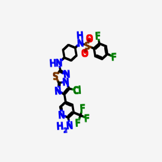 Nc1ncc(-c2nc3sc(NC4CCC(NS(=O)(=O)c5ccc(F)cc5F)CC4)nn3c2Cl)cc1C(F)(F)F